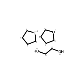 C1CCOC1.C1CCOC1.OCCO